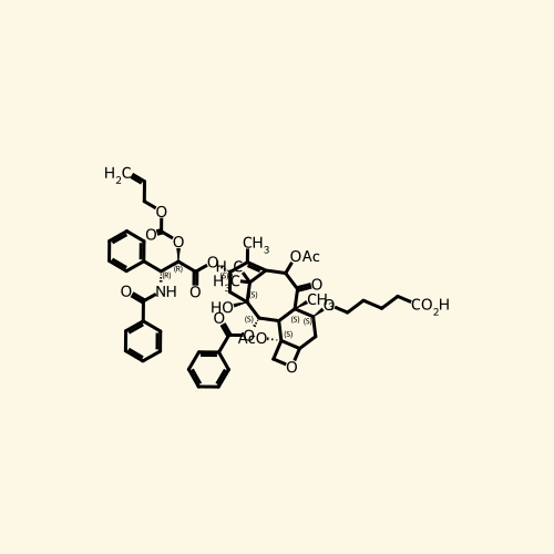 C=CCOC(=O)O[C@@H](C(=O)O[C@H]1C[C@@]2(O)[C@@H](OC(=O)c3ccccc3)C3[C@]4(OC(C)=O)COC4C[C@H](OCCCCC(=O)O)[C@@]3(C)C(=O)C(OC(C)=O)C(=C1C)C2(C)C)[C@H](NC(=O)c1ccccc1)c1ccccc1